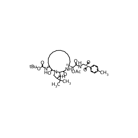 CC(=O)OC(C(=O)NCS(=O)(=O)c1ccc(C)cc1)[C@@H]1CCCCCCCCCC[C@H](NC(=O)OC(C)(C)C)C(=O)N2CC3[C@@H](C2C(=O)N1)C3(C)C